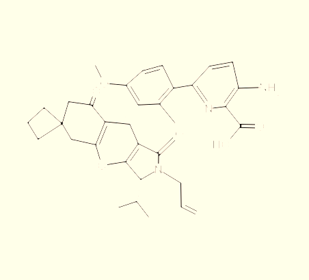 C=CCN1C(=O)C2=C(OC3=C(C(=O)CC4(CCC4)C3)[C@@H]2c2c(OC)ccc(-c3ccc(N)c(C(=O)O)n3)c2C)[C@H]1C(C)C